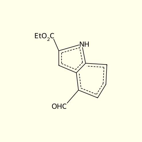 CCOC(=O)c1cc2c(C=O)cccc2[nH]1